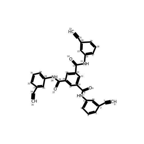 C#Cc1cccc(NC(=O)c2cc(C(=O)Nc3cccc(C#C)c3)cc(C(=O)Nc3cccc(C#C)c3)c2)c1